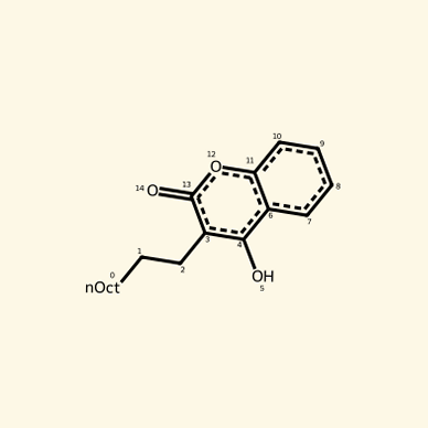 CCCCCCCCCCc1c(O)c2ccccc2oc1=O